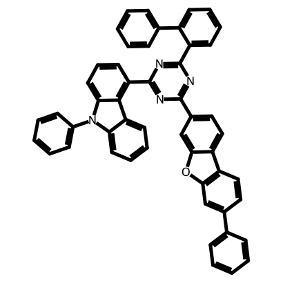 c1ccc(-c2ccc3c(c2)oc2cc(-c4nc(-c5ccccc5-c5ccccc5)nc(-c5cccc6c5c5ccccc5n6-c5ccccc5)n4)ccc23)cc1